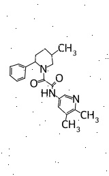 Cc1cc(NC(=O)C(=O)N2CC(C)CCC2c2ccccc2)cnc1C